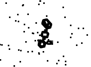 N#Cc1cccnc1N1CCN(C2C3CC4CC(C3)CC2C4)CC1